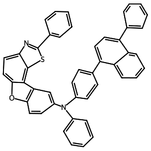 c1ccc(-c2nc3ccc4oc5ccc(N(c6ccccc6)c6ccc(-c7ccc(-c8ccccc8)c8ccccc78)cc6)cc5c4c3s2)cc1